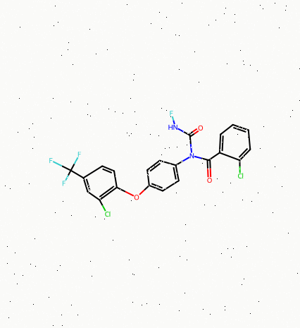 O=C(NF)N(C(=O)c1ccccc1Cl)c1ccc(Oc2ccc(C(F)(F)F)cc2Cl)cc1